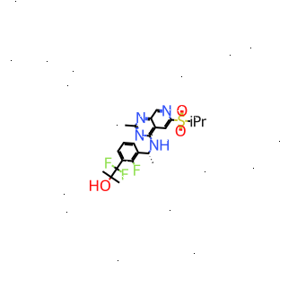 Cc1nc(N[C@H](C)c2cccc(C(F)(F)C(C)(C)O)c2F)c2cc(S(=O)(=O)C(C)C)ncc2n1